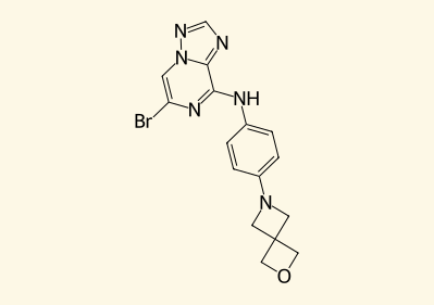 Brc1cn2ncnc2c(Nc2ccc(N3CC4(COC4)C3)cc2)n1